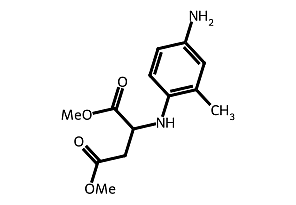 COC(=O)CC(Nc1ccc(N)cc1C)C(=O)OC